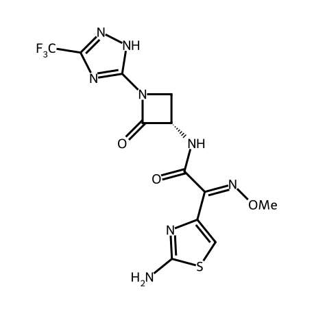 CON=C(C(=O)N[C@H]1CN(c2nc(C(F)(F)F)n[nH]2)C1=O)c1csc(N)n1